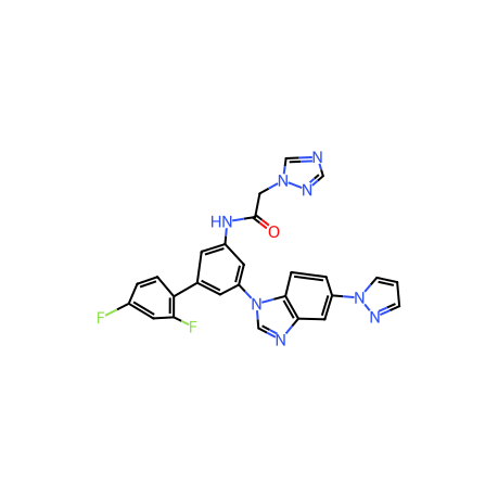 O=C(Cn1cncn1)Nc1cc(-c2ccc(F)cc2F)cc(-n2cnc3cc(-n4cccn4)ccc32)c1